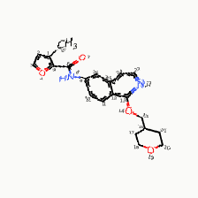 Cc1ccoc1C(=O)Nc1ccc2c(OCC3CCOCC3)nccc2c1